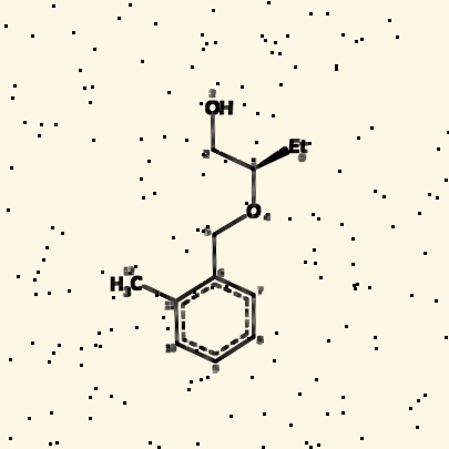 CC[C@H](CO)OCc1ccccc1C